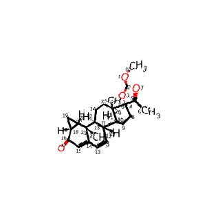 COCO[C@]1(C(C)=O)CC[C@H]2[C@@H]3C=CC4=CC(=O)[C@@H]5C[C@@H]5[C@]4(C)[C@H]3CC[C@@]21C